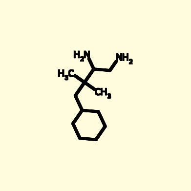 CC(C)(CC1CCCCC1)C(N)CN